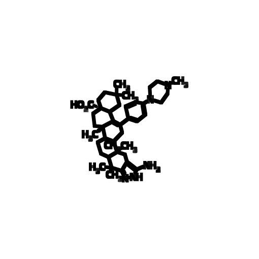 CN1CCN(c2ccc(C3=C4C5CC(C)(C)CC[C@]5(C(=O)O)CC[C@@]4(C)[C@]4(C)CCC5C(C)(C)c6n[nH]c(N)c6C[C@]5(C)C4C3)cc2)CC1